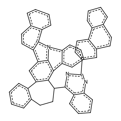 c1ccc2c(c1)CCC(c1nc(-c3ccc4c(ccc5ccccc54)c3)nc3ccccc13)c1c-2cc2c3ccc4ccccc4c3n3c4ccccc4c1c23